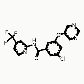 O=C(Nc1cc(C(F)(F)F)ccn1)c1cc(Cl)cc(Oc2cncnc2)c1